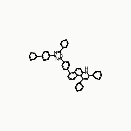 C1=C(c2ccccc2)c2c(ccc3c(-c4ccc(-c5nc(-c6ccccc6)nc(-c6ccc(-c7ccccc7)cc6)n5)cc4)cccc23)NC1c1ccccc1